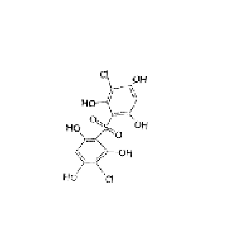 O=S(=O)(c1c(O)cc(O)c(Cl)c1O)c1c(O)cc(O)c(Cl)c1O